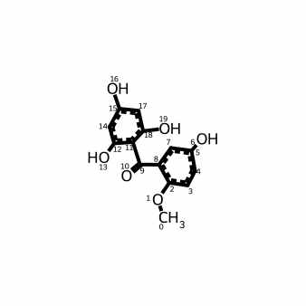 COc1ccc(O)cc1C(=O)c1c(O)cc(O)cc1O